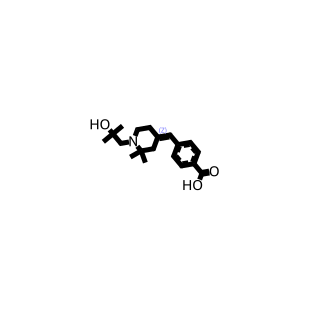 CC(C)(O)CN1CC/C(=C/c2ccc(C(=O)O)cc2)CC1(C)C